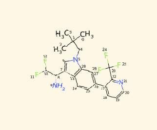 CC(C)(C)Cn1cc([C@H](N)C(F)F)c2ccc(-c3cccnc3C(F)(F)F)cc21